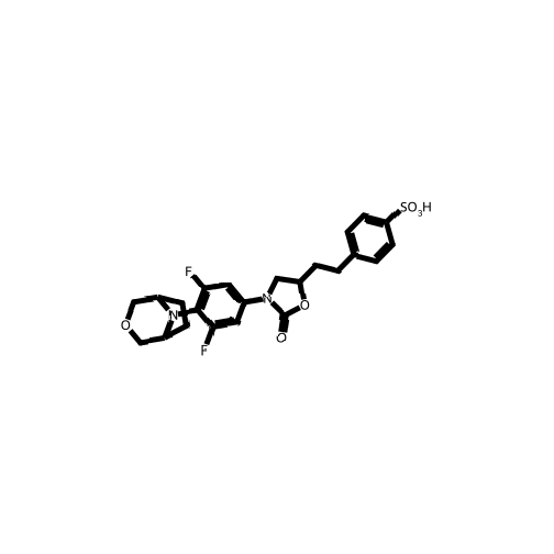 O=C1OC(CCc2ccc(S(=O)(=O)O)cc2)CN1c1cc(F)c(N2C3CCC2COC3)c(F)c1